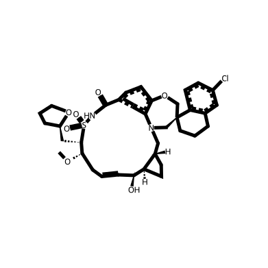 CO[C@H]1C/C=C/[C@H](O)[C@@H]2CC[C@H]2CN2C[C@@]3(CCCc4cc(Cl)ccc43)COc3ccc(cc32)C(=O)NS(=O)(=O)[C@H]1C[C@H]1CCCO1